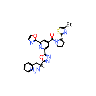 CCc1csc([C@H]2CCCN2C(=O)c2cc(-c3ncco3)nc(-c3nnc([C@@](C)(N)Cc4ccccc4)o3)c2)n1